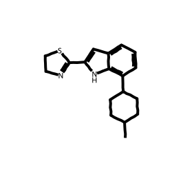 CC1CC[C](c2cccc3cc(C4=NCCS4)[nH]c23)CC1